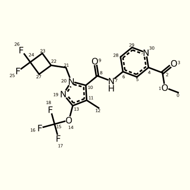 COC(=O)c1cc(NC(=O)c2c(C)c(OC(F)(F)F)nn2CC2CC(F)(F)C2)ccn1